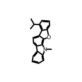 CC(C)c1cccc2oc3c(ccc4c5ccccc5n(C)c43)c12